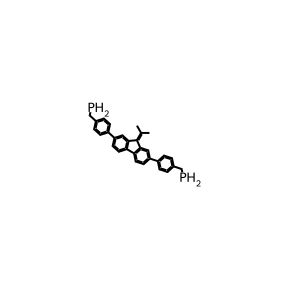 CC(C)=C1c2cc(-c3ccc(CP)cc3)ccc2-c2ccc(-c3ccc(CP)cc3)cc21